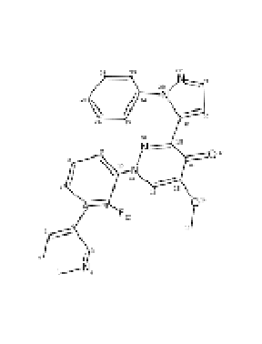 C/C=C(\C=N/C)c1cccc(-n2cc(OC)c(=O)c(-c3ccnn3-c3ccccc3)n2)c1F